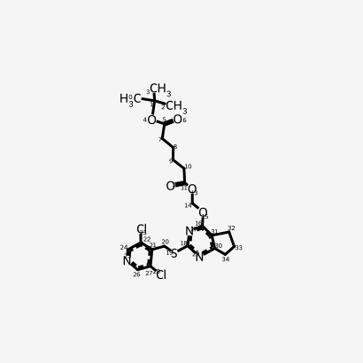 CC(C)(C)OC(=O)CCCCC(=O)OCOc1nc(SCc2c(Cl)cncc2Cl)nc2c1CCC2